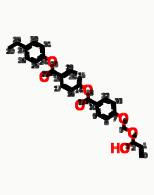 C=CC(O)OCOc1ccc(C(=O)OC(=C)/C=C\C(=C/C)C(=O)Oc2ccc(CC)cc2)cc1